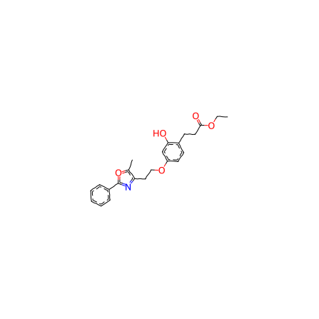 CCOC(=O)CCc1ccc(OCCc2nc(-c3ccccc3)oc2C)cc1O